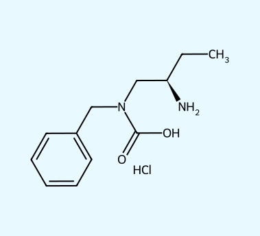 CC[C@@H](N)CN(Cc1ccccc1)C(=O)O.Cl